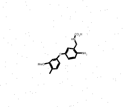 COc1cc(Oc2ccc(N)c(CNC(=O)O)c2)ccc1C